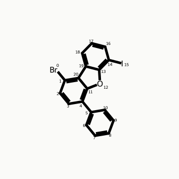 Brc1ccc(-c2ccccc2)c2oc3c(I)cccc3c12